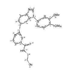 COc1ccc(-c2cnc3ccc(-c4cccc(C(=O)NCCO)c4)cn23)cc1OC